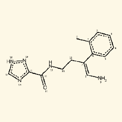 Cc1ccccc1/C(=C\N)CCNC(=O)c1nc[nH]n1